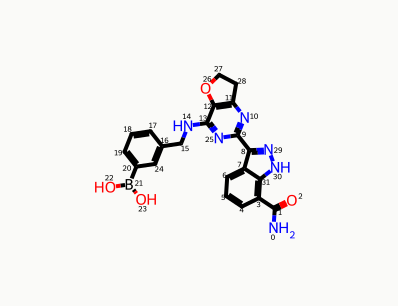 NC(=O)c1cccc2c(-c3nc4c(c(NCc5cccc(B(O)O)c5)n3)OCC4)n[nH]c12